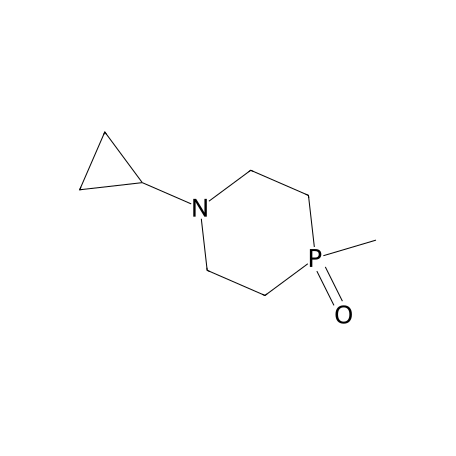 CP1(=O)CCN(C2CC2)CC1